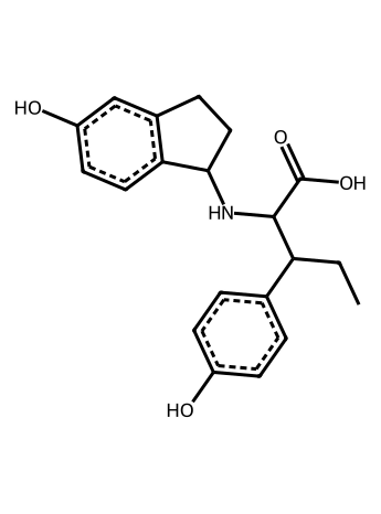 CCC(c1ccc(O)cc1)C(NC1CCc2cc(O)ccc21)C(=O)O